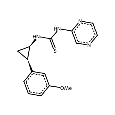 COc1cccc([C@H]2C[C@H]2NC(=S)Nc2cnccn2)c1